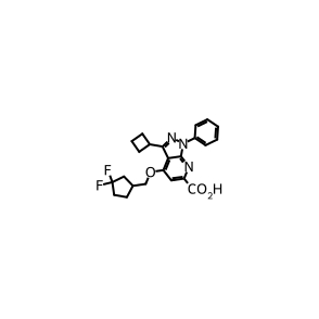 O=C(O)c1cc(OCC2CCC(F)(F)C2)c2c(C3CCC3)nn(-c3ccccc3)c2n1